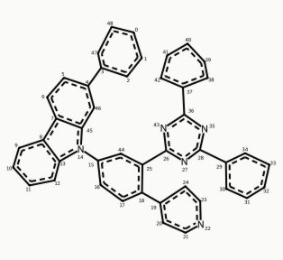 c1ccc(-c2ccc3c4ccccc4n(-c4ccc(-c5ccncc5)c(-c5nc(-c6ccccc6)nc(-c6ccccc6)n5)c4)c3c2)cc1